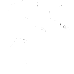 Cc1cccc(C2=NC(N)C(=O)Nc3ccccc32)c1